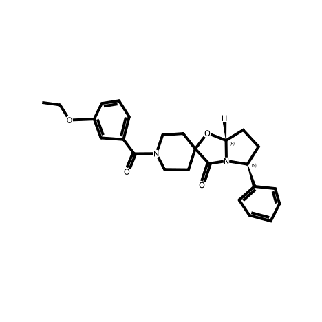 CCOc1cccc(C(=O)N2CCC3(CC2)O[C@@H]2CC[C@@H](c4ccccc4)N2C3=O)c1